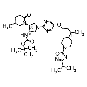 CC1CCC(=O)N([C@H]2CN(c3ncc(OCC[C@@H](C)C4CCN(c5nc(C(C)C)no5)CC4)cn3)C[C@@H]2NC(=O)OC(C)(C)C)C1